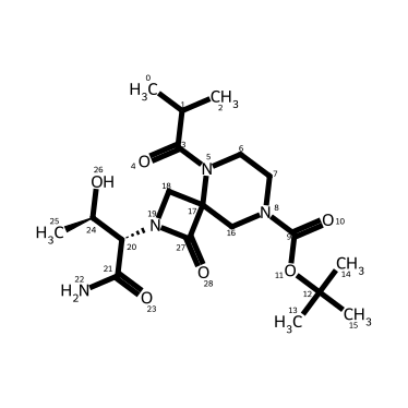 CC(C)C(=O)N1CCN(C(=O)OC(C)(C)C)CC12CN([C@H](C(N)=O)[C@@H](C)O)C2=O